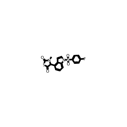 CN1C(=O)SC(=O)C1c1cccc2c1ccn2S(=O)(=O)c1ccc(F)cc1